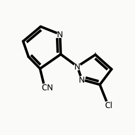 N#Cc1cccnc1-n1[c]cc(Cl)n1